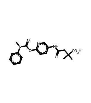 CN(C(=O)Oc1ccc(NC(=O)CC(C)(C)C(=O)O)cn1)c1ccccc1